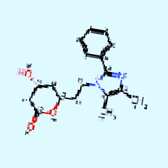 Cc1nc(-c2ccccc2)n(CC[C@@H]2C[C@@H](O)CC(=O)O2)c1C